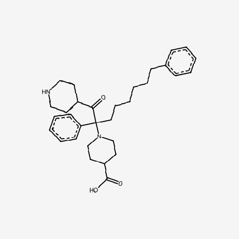 O=C(O)C1CCN(C(CCCCCCc2ccccc2)(C(=O)C2CCNCC2)c2ccccc2)CC1